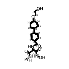 CC(C)NC(=O)C(NC(=O)c1ccc(-c2ccc(OCCO)cc2)cc1)C(=O)NO